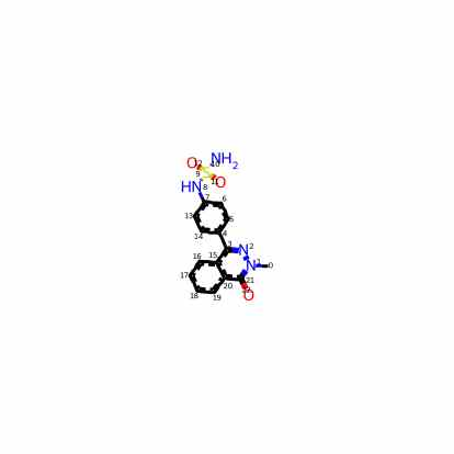 Cn1nc(-c2ccc(NS(N)(=O)=O)cc2)c2ccccc2c1=O